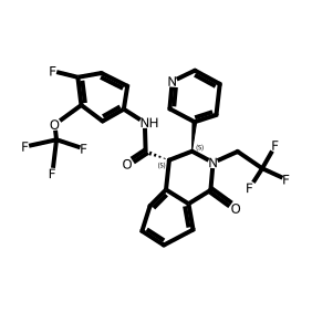 O=C(Nc1ccc(F)c(OC(F)(F)F)c1)[C@H]1c2ccccc2C(=O)N(CC(F)(F)F)[C@@H]1c1cccnc1